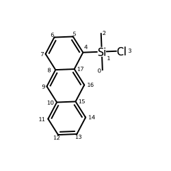 C[Si](C)(Cl)c1cccc2cc3ccccc3cc12